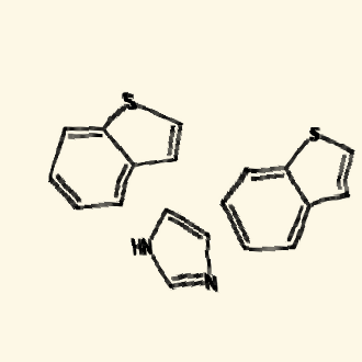 c1c[nH]cn1.c1ccc2sccc2c1.c1ccc2sccc2c1